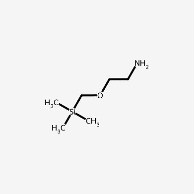 C[Si](C)(C)COCCN